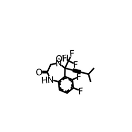 CC(C)C#CC1(C(F)(F)F)c2c(ccc(F)c2F)NC(=O)CN1O